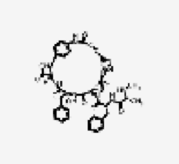 CN[C@@H](C)C(=O)N[C@@H](Cc1ccccc1)C(=O)N1C[C@@H]2C[C@H]1C(=O)N[C@@H](Cc1ccccc1)C(=O)N[C@H](C(=O)O)Cc1ccc(cc1)NC(=O)CCc1cn2nn1